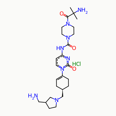 CC(C)(N)C(=O)N1CCN(C(=O)Nc2ccn(C3=CC[C@H](CN4CCC(CN)C4)CC3)c(=O)n2)CC1.Cl